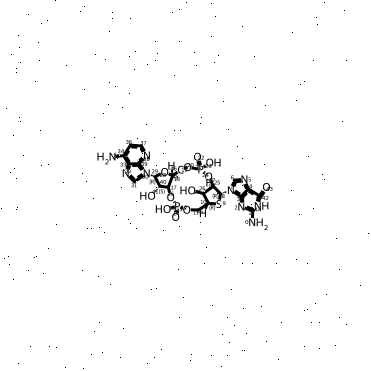 Nc1nc2c(ncn2[C@@H]2S[C@@H]3COP(=O)(O)OC4[C@@H](COP(=O)(O)O[C@H]2C3O)O[C@@H](n2cnc3c(N)ccnc32)[C@H]4O)c(=O)[nH]1